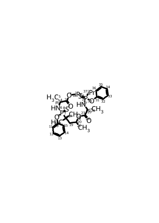 CC(C)OC(=O)[C@@H](C)NP(=S)(Oc1ccccc1)C(C)(C)CC(C)OC(=O)[C@@H](C)NP(=S)(Oc1ccccc1)C(C)C